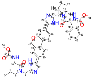 CCCN(Cc1ncc(-c2ccc3c(c2)COc2cc(-c4cnc([C@@H]5[C@H]6CC[C@H](C6)N5C(=O)[C@H](NC(=O)OC)c5ccccc5)[nH]4)ccc2-3)[nH]1)C(=O)CNC(=O)OC